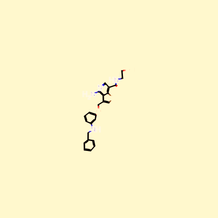 Nc1ncc(C(=O)NCCO)c2scc(COc3cccc(NCc4ccccc4)c3)c12